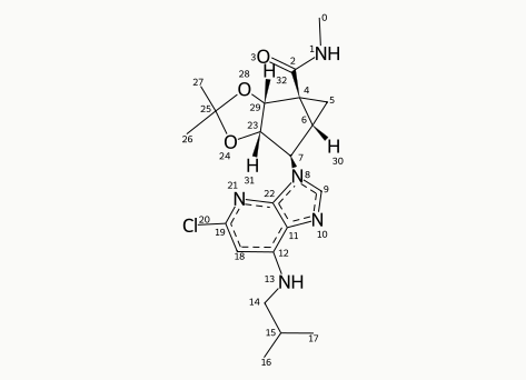 CNC(=O)[C@@]12C[C@@H]1[C@@H](n1cnc3c(NCC(C)C)cc(Cl)nc31)[C@@H]1OC(C)(C)O[C@@H]12